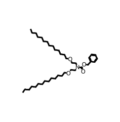 CCCCCCCCCCCCCCOCCN(CCOCCCCCCCCCCCCCC)C(=O)OCc1ccccc1